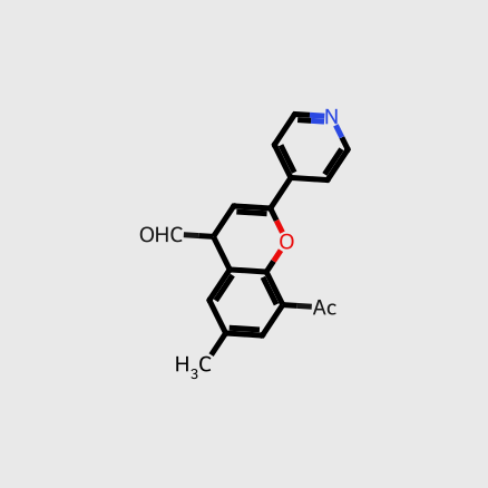 CC(=O)c1cc(C)cc2c1OC(c1ccncc1)=CC2C=O